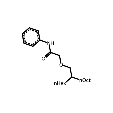 CCCCCCCCC(CCCCCC)COCC(=O)Nc1ccccc1